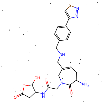 NC1CC=C(CNCc2ccc(-c3csnn3)cc2)CN(CC(=O)NC2CC(=O)OC2O)C1=O